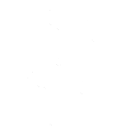 NS(=O)(=O)c1ccc(-n2nc(C(F)(F)F)cc2-c2ccc(-c3cocn3)cc2)cc1F.NS(=O)(=O)c1ccc(-n2nc(C(F)(F)F)cc2-c2ccc(-c3cscn3)c(Cl)c2)cc1F